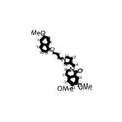 COc1ccc2c(OCCCN3CCC(CN4CCc5cc(OC)c(OC)cc5C4=O)C3)cccc2c1